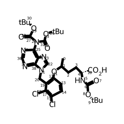 CC(CC[C@@H](NC(=O)OC(C)(C)C)C(=O)O)Oc1ccc(Cl)c(Cl)c1Cn1cnc2c(N(C(=O)OC(C)(C)C)C(=O)OC(C)(C)C)ncnc21